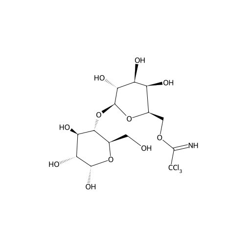 N=C(OC[C@H]1O[C@@H](O[C@H]2[C@H](O)[C@@H](O)[C@@H](O)O[C@@H]2CO)[C@H](O)[C@@H](O)[C@H]1O)C(Cl)(Cl)Cl